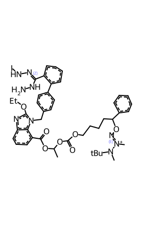 CCOc1nc2cccc(C(=O)OC(C)OC(=O)OCCCCC(O/N=[N+](\C)N(C)C(C)(C)C)c3ccccc3)c2n1Cc1ccc(-c2ccccc2/C(=N/NI)NN)cc1